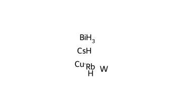 [BiH3].[CsH].[Cu].[RbH].[W]